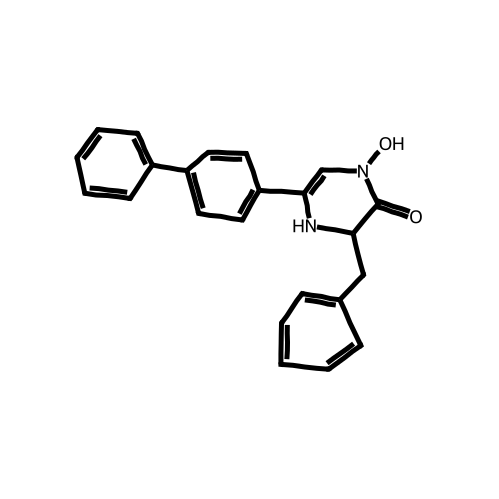 O=C1C(Cc2ccccc2)NC(c2ccc(-c3ccccc3)cc2)=CN1O